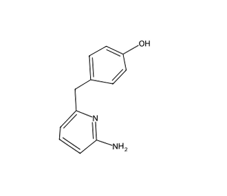 Nc1cccc(Cc2ccc(O)cc2)n1